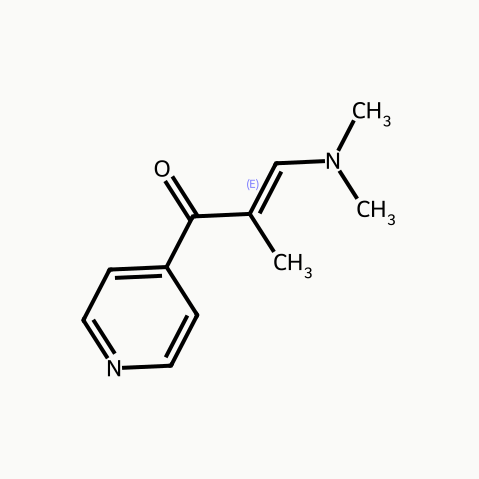 C/C(=C\N(C)C)C(=O)c1ccncc1